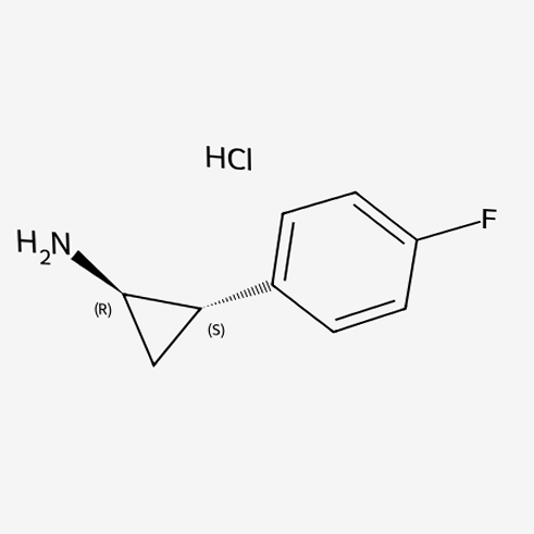 Cl.N[C@@H]1C[C@H]1c1ccc(F)cc1